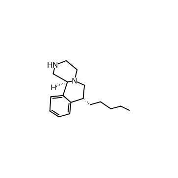 CCCCC[C@H]1CN2CCNC[C@@H]2c2ccccc21